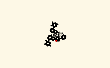 Cc1cc(C)c(C)c(-c2cccc3c2C=C(C(C)C)[CH]3[Zr]([Cl])([Cl])([c]2cccc3c2[SiH2]c2ccccc2-3)[CH]2C(C(C)C)=Cc3c(-c4cc(C)cc(C)c4C)cccc32)c1